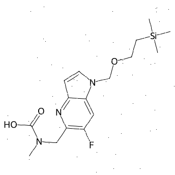 CN(Cc1nc2ccn(COCC[Si](C)(C)C)c2cc1F)C(=O)O